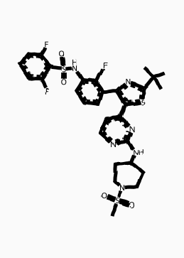 CC(C)(C)c1nc(-c2cccc(NS(=O)(=O)c3c(F)cccc3F)c2F)c(-c2ccnc(NC3CCN(S(C)(=O)=O)CC3)n2)s1